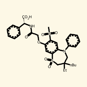 CCCCC1(CC)CN(c2ccccc2)c2cc(S(C)(=O)=O)c(OCC(=O)N[C@@H](C(=O)O)c3ccccc3)cc2S(=O)(=O)C1